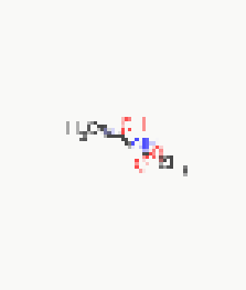 C/C=C/C(O)CNC(=O)OC